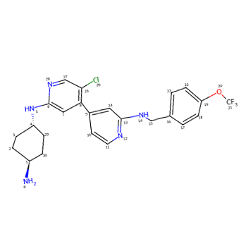 N[C@H]1CC[C@H](Nc2cc(-c3ccnc(NCc4ccc(OC(F)(F)F)cc4)c3)c(Cl)cn2)CC1